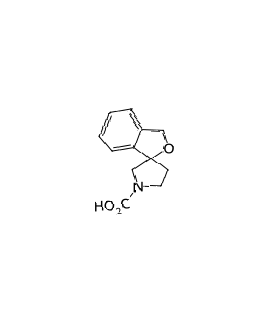 O=C(O)N1CCC2(C1)OCc1ccccc12